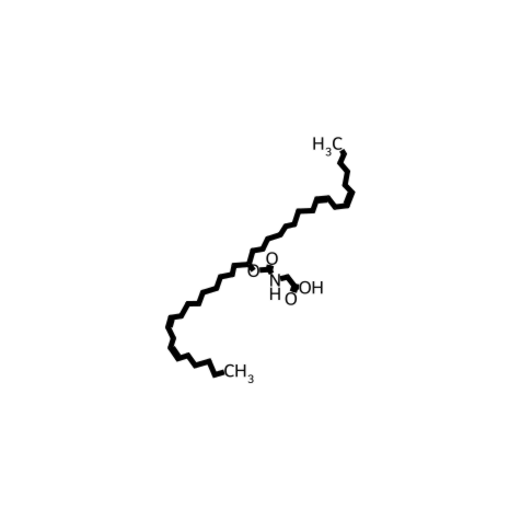 CCCCC/C=C\C/C=C\CCCCCCCCC(CCCCCCCC/C=C\C/C=C\CCCCC)OC(=O)NCC(=O)O